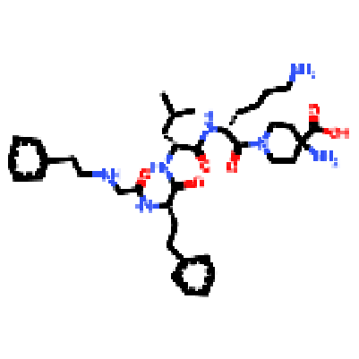 CC(C)C[C@@H](NC(=O)[C@@H](CCc1ccccc1)NC(=O)CNCCc1ccccc1)C(=O)N[C@H](CCCCN)C(=O)N1CCC(N)(C(=O)O)CC1